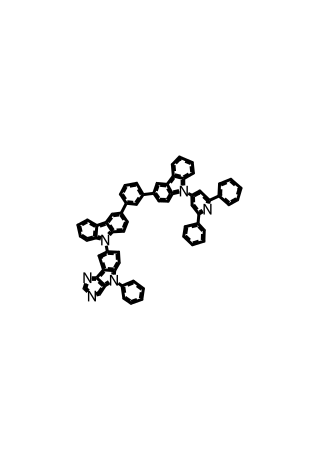 c1ccc(-c2cc(-n3c4ccccc4c4cc(-c5cccc(-c6ccc7c(c6)c6ccccc6n7-c6ccc7c(c6)c6ncncc6n7-c6ccccc6)c5)ccc43)cc(-c3ccccc3)n2)cc1